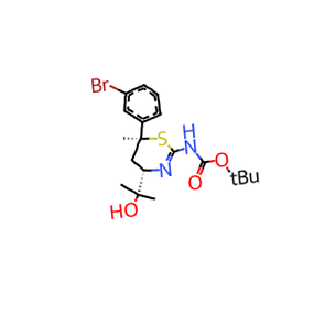 CC(C)(C)OC(=O)NC1=N[C@H](C(C)(C)O)C[C@@](C)(c2cccc(Br)c2)S1